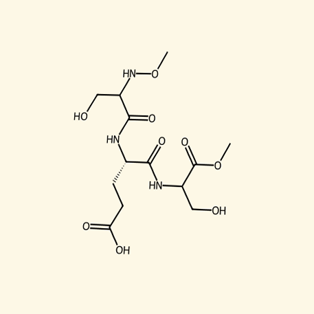 CONC(CO)C(=O)N[C@@H](CCC(=O)O)C(=O)NC(CO)C(=O)OC